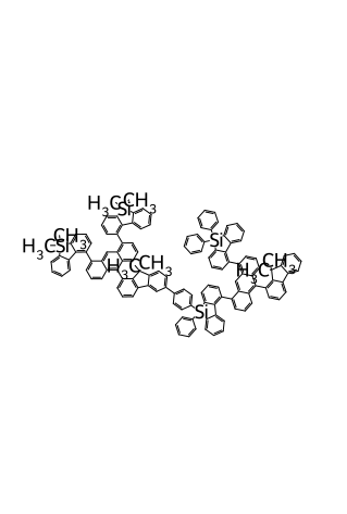 CC1(C)c2ccc(-c3ccc([Si]4(c5ccccc5)c5ccccc5-c5c(-c6cccc7c(-c8cccc9c8C(C)(C)c8ccccc8-9)c8cccc(-c9cccc%10c9-c9ccccc9[Si]%10(c9ccccc9)c9ccccc9)c8cc67)cccc54)cc3)cc2-c2cccc(-c3c4cccc(-c5cccc6c5-c5ccccc5[Si]6(C)C)c4cc4c(-c5cccc6c5-c5ccccc5[Si]6(C)C)cccc34)c21